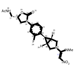 CN/C(=C\[N+](=O)[O-])N1C[C@@H]2[C@H](C1)[C@H]2c1ccc(N2C[C@H](CNC(C)=O)OC2=O)cc1F